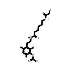 CCC(=O)Oc1c(I)cc(I)c(CCNC(=O)CCCCCNC(=O)CCl)c1I